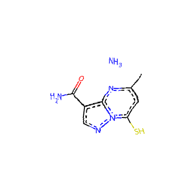 Cc1cc(S)n2ncc(C(N)=O)c2n1.N